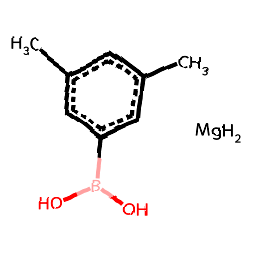 Cc1cc(C)cc(B(O)O)c1.[MgH2]